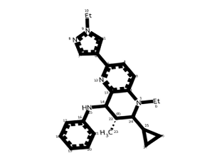 CCN1c2ccc(-c3cnn(CC)c3)nc2C(Nc2ccccc2)[C@@H](C)C1C1CC1